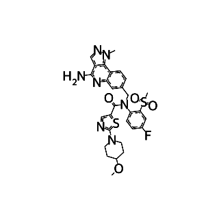 COC1CCN(c2ncc(C(=O)N(Cc3ccc4c(c3)nc(N)c3cnn(C)c34)c3ccc(F)cc3S(C)(=O)=O)s2)CC1